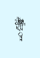 [2H]C([2H])([2H])N(C(=O)c1cnc(C2=CCNCC2)cn1)C([2H])([2H])[2H]